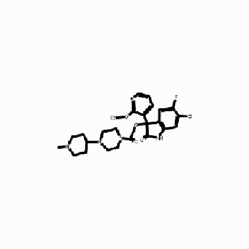 CCOc1ncccc1C1(OC(=O)N2CCN(C3CCN(C)CC3)CC2)C(=O)Nc2cc(Cl)c(F)cc21